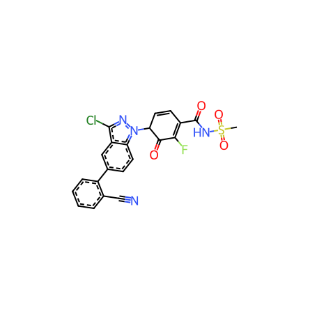 CS(=O)(=O)NC(=O)C1=C(F)C(=O)C(n2nc(Cl)c3cc(-c4ccccc4C#N)ccc32)C=C1